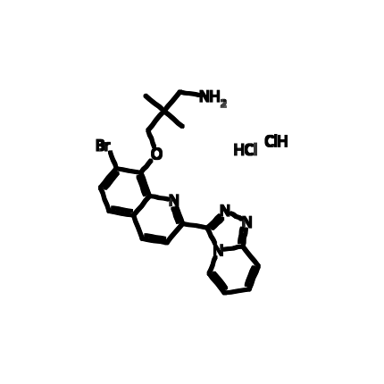 CC(C)(CN)COc1c(Br)ccc2ccc(-c3nnc4ccccn34)nc12.Cl.Cl